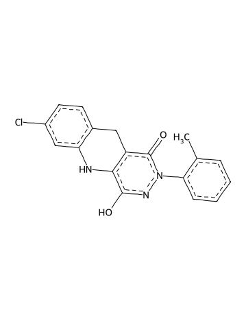 Cc1ccccc1-n1nc(O)c2c(c1=O)Cc1ccc(Cl)cc1N2